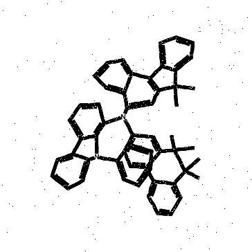 CC1(C)c2ccccc2-c2c1cc(N(c1ccc3c(c1)C(C)(C)C(C)(C)c1ccccc1-3)c1cccc3c4ccccc4n(-c4ccccc4)c13)c1ccccc21